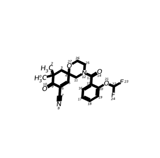 CC1(C)CC2(C=C(C#N)C1=O)CN(C(=O)c1ccccc1OC(F)F)CCO2